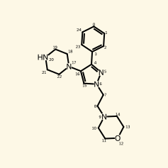 c1ccc(-c2nn(CCN3CCOCC3)cc2N2CCNCC2)cc1